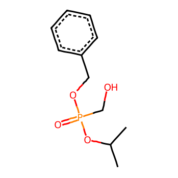 CC(C)OP(=O)(CO)OCc1ccccc1